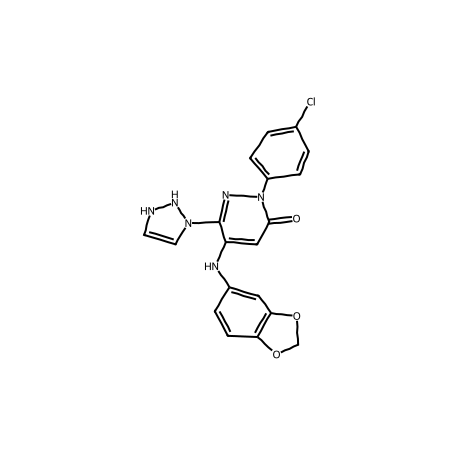 O=c1cc(Nc2ccc3c(c2)OCO3)c(N2C=CNN2)nn1-c1ccc(Cl)cc1